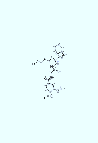 CCCCCC/C(=N\NC(=O)CNC(=O)c1ccc(OC)c(OC)c1)c1csc2ccccc12